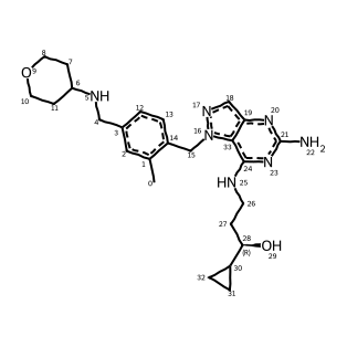 Cc1cc(CNC2CCOCC2)ccc1Cn1ncc2nc(N)nc(NCC[C@@H](O)C3CC3)c21